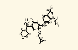 CNc1nc(Nc2cc(C)c(C(=O)N3CCOCC3)cc2OCC2CC2)ncc1C(F)(F)F